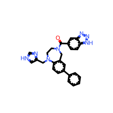 O=C(c1ccc2[nH]nnc2c1)N1CCN(Cc2c[nH]cn2)c2ccc(-c3ccccc3)cc2C1